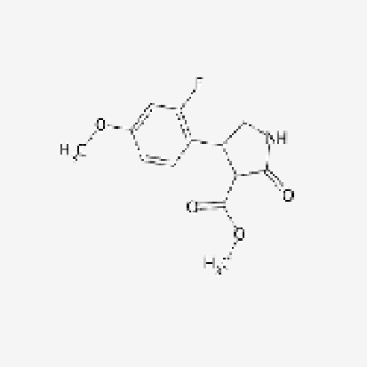 COC(=O)C1C(=O)NCC1c1ccc(OC)cc1F